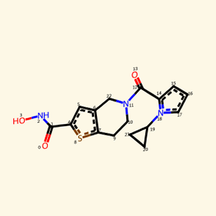 O=C(NO)c1cc2c(s1)CCN(C(=O)c1cccn1C1CC1)C2